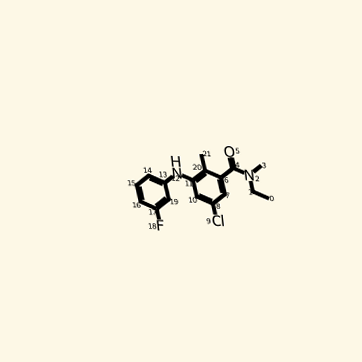 CCN(C)C(=O)c1cc(Cl)cc(Nc2cccc(F)c2)c1C